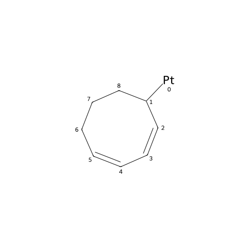 [Pt][CH]1C=CC=CCCC1